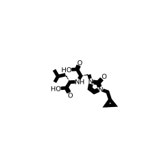 CC(C)C[C@H](N[C@@H](Cn1ccn(CC2CC2)c1=O)C(=O)O)C(=O)O